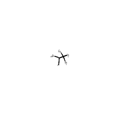 CCCC(C)C(CC)(CC)CC